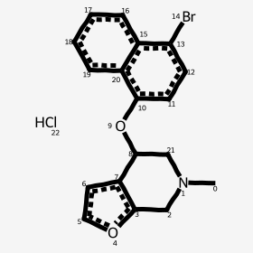 CN1Cc2occc2C(Oc2ccc(Br)c3ccccc23)C1.Cl